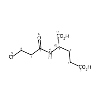 O=C(O)CC[C@H](NC(=O)CCCl)C(=O)O